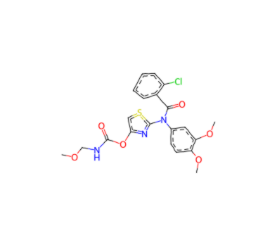 COCNC(=O)Oc1csc(N(C(=O)c2ccccc2Cl)c2ccc(OC)c(OC)c2)n1